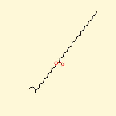 CCCCCCCCC=CCCCCCCCCCC(=O)OCCCCCCCCCC(C)CC